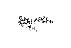 CCCc1c(OC/C=C/COc2ccc(C#N)cc2)ccc2c(=O)ccoc12